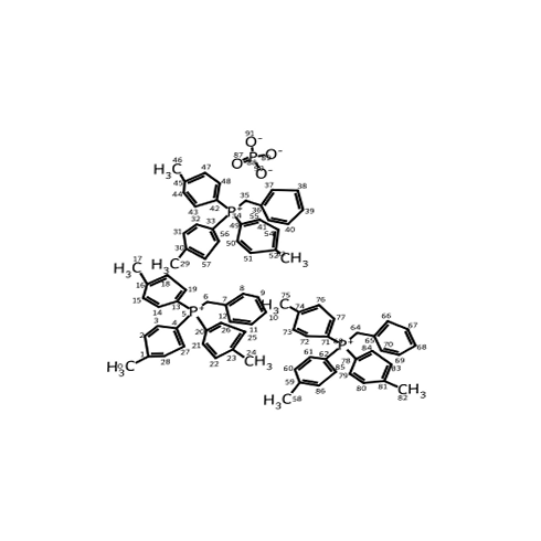 Cc1ccc([P+](Cc2ccccc2)(c2ccc(C)cc2)c2ccc(C)cc2)cc1.Cc1ccc([P+](Cc2ccccc2)(c2ccc(C)cc2)c2ccc(C)cc2)cc1.Cc1ccc([P+](Cc2ccccc2)(c2ccc(C)cc2)c2ccc(C)cc2)cc1.O=P([O-])([O-])[O-]